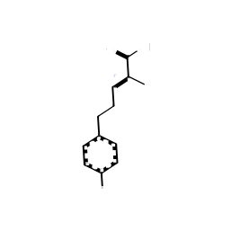 C/C(=C\CCc1ccc(Cl)cc1)C(=O)O